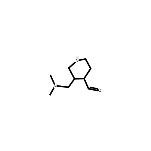 CN(C)CC1CNCCC1C=O